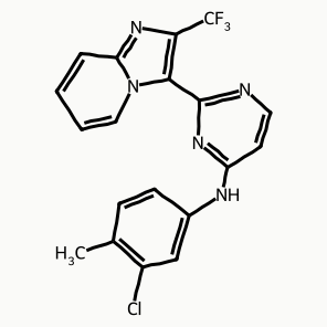 Cc1ccc(Nc2ccnc(-c3c(C(F)(F)F)nc4ccccn34)n2)cc1Cl